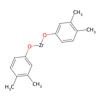 Cc1ccc([O][Zr][O]c2ccc(C)c(C)c2)cc1C